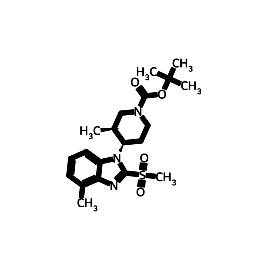 Cc1cccc2c1nc(S(C)(=O)=O)n2[C@H]1CCN(C(=O)OC(C)(C)C)C[C@@H]1C